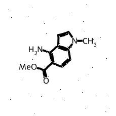 COC(=O)c1ccc2c(ccn2C)c1N